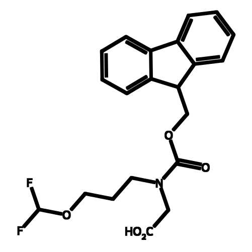 O=C(O)CN(CCCOC(F)F)C(=O)OCC1c2ccccc2-c2ccccc21